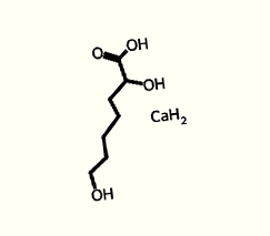 O=C(O)C(O)CCCCCO.[CaH2]